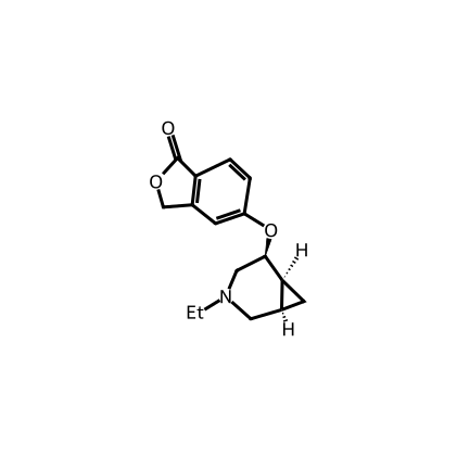 CCN1C[C@@H]2C[C@@H]2[C@H](Oc2ccc3c(c2)COC3=O)C1